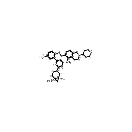 Cc1ccc(OCc2ccc3c(c2C)CCN(C2CCOCC2)C3)c(-c2ccnc(N3CC[C@@]4(C(=O)O)C[C@H]4C3)n2)c1